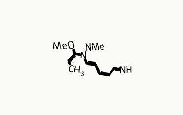 C/C=C(/OC)N(/C=C/C=C\C=N)NC